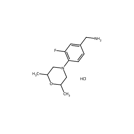 CC1CN(c2ccc(CN)cc2F)CC(C)O1.Cl